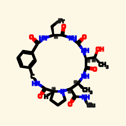 CC(C)C[C@@H]1NC(=O)c2cccc(c2)CNC(=O)[C@@H]2CCCN2[C@H](C(=O)NC(C)(C)C)[C@H](C)NC(=O)[C@H]([C@@H](C)O)NC(=O)NC1=O